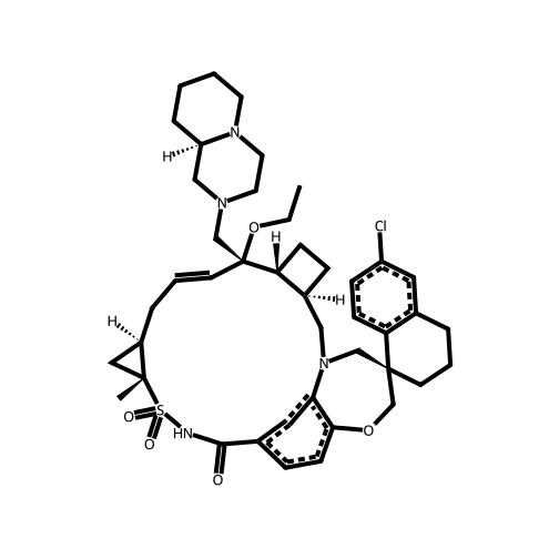 CCO[C@@]1(CN2CCN3CCCC[C@@H]3C2)/C=C/C[C@@H]2C[C@@]2(C)S(=O)(=O)NC(=O)c2ccc3c(c2)N(C[C@@H]2CC[C@H]21)C[C@@]1(CCCc2cc(Cl)ccc21)CO3